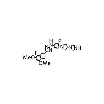 COc1cc(OC)c(F)c(CCc2cnc(Nc3ccc(N4CCC(N5CCNCC5)CC4)c(F)c3)nc2)c1F